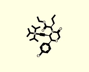 CCC[C@H](C(=O)OCC)N1C(=O)CO[C@@H](c2ccc(Cl)cc2)[C@H]1C#C[Si](C(C)C)(C(C)C)C(C)C